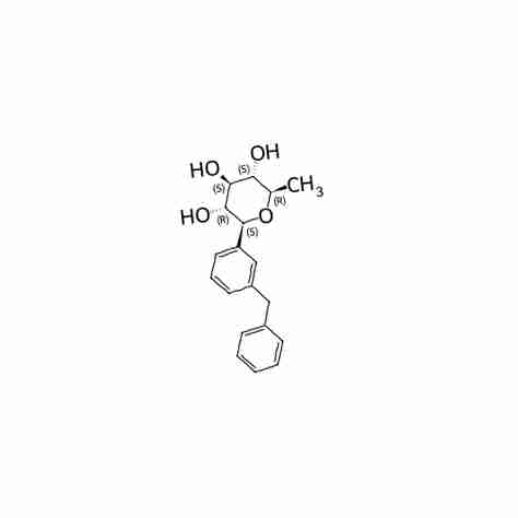 C[C@H]1O[C@@H](c2cccc(Cc3ccccc3)c2)[C@H](O)[C@@H](O)[C@@H]1O